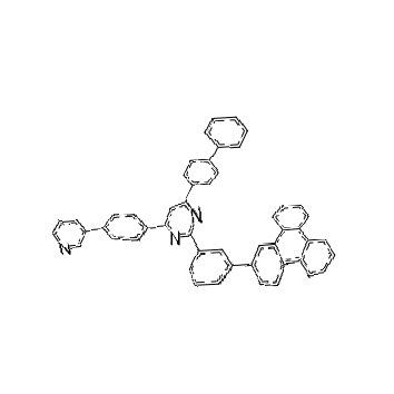 c1ccc(-c2ccc(-c3cc(-c4ccc(-c5cccnc5)cc4)nc(-c4cccc(-c5ccc6c7ccccc7c7ccccc7c6c5)c4)n3)cc2)cc1